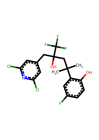 CC(C)(CC(O)(Cc1cc(Cl)nc(Cl)c1)C(F)(F)F)c1cc(F)ccc1O